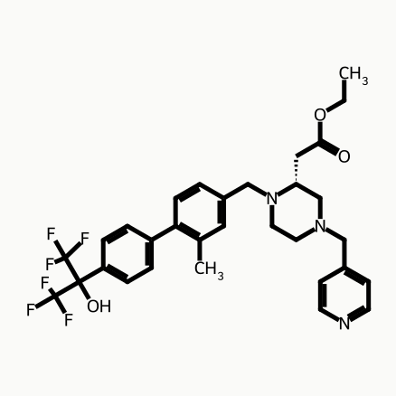 CCOC(=O)C[C@@H]1CN(Cc2ccncc2)CCN1Cc1ccc(-c2ccc(C(O)(C(F)(F)F)C(F)(F)F)cc2)c(C)c1